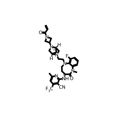 C=CC(=O)N1CC(N2C[C@@H]3C[C@H]2CN3CCN2CC[C@H](Nc3nc(C)cc(C(F)(F)F)c3C#N)C(=O)N(C)c3cccc(F)c32)C1